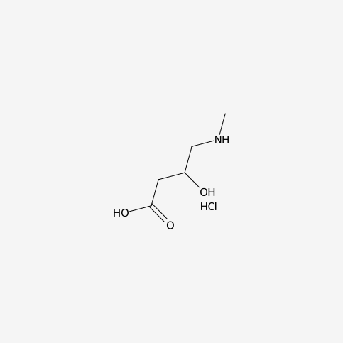 CNCC(O)CC(=O)O.Cl